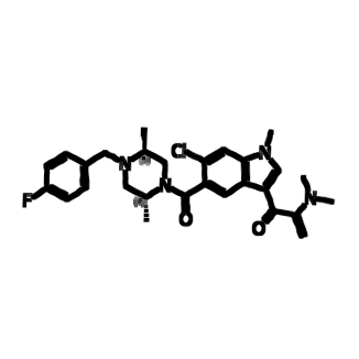 C=C(C(=O)c1cn(C)c2cc(Cl)c(C(=O)N3C[C@H](C)N(Cc4ccc(F)cc4)C[C@H]3C)cc12)N(C)C